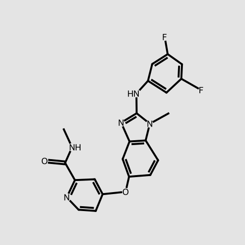 CNC(=O)c1cc(Oc2ccc3c(c2)nc(Nc2cc(F)cc(F)c2)n3C)ccn1